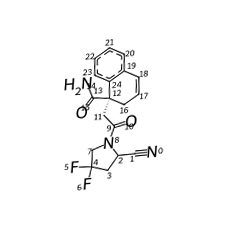 N#CC1CC(F)(F)CN1C(=O)C[C@@]1(C(N)=O)CC=Cc2ccccc21